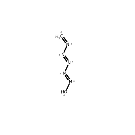 C=NN=NN=NO